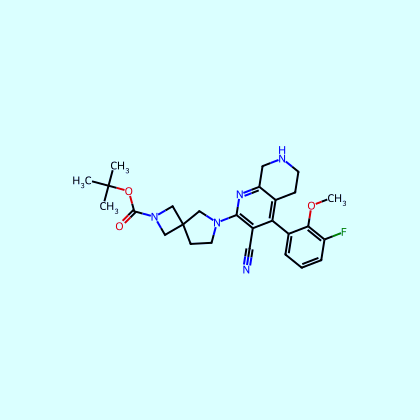 COc1c(F)cccc1-c1c(C#N)c(N2CCC3(CN(C(=O)OC(C)(C)C)C3)C2)nc2c1CCNC2